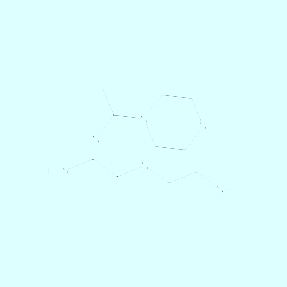 CC(N)N1CCNCC1.NCCNCCN